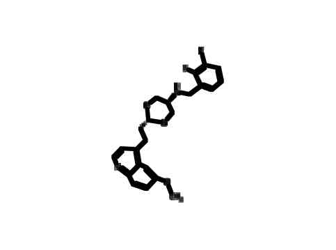 COc1ccc2nccc(CC[C@H]3OC[C@H](NCc4cccc(F)c4F)CO3)c2c1